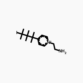 CC(C)(I)C(C)(C)C(C)(C)c1cc[n+](CCN)cc1